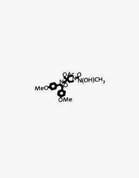 COc1ccc(-c2nc(C3(COC(C)=O)CCN(C(=O)N(C)O)CC3)oc2-c2ccc(OC)cc2)cc1